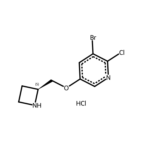 Cl.Clc1ncc(OC[C@@H]2CCN2)cc1Br